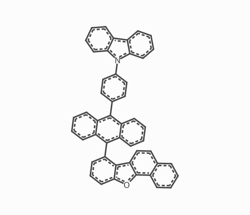 c1ccc2c(c1)ccc1c2oc2cccc(-c3c4ccccc4c(-c4ccc(-n5c6ccccc6c6ccccc65)cc4)c4ccccc34)c21